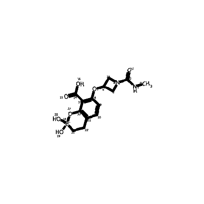 CNC(=O)N1CC(Oc2ccc3c(c2C(=O)O)O[B-](O)(O)CC3)C1